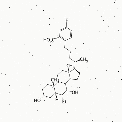 CC[C@H]1[C@@H](O)C2C3CC[C@H]([C@H](C)CCCc4ccc(F)cc4C(=O)O)C3(C)CCC2[C@@]2(C)CC[C@@H](O)C[C@@H]12